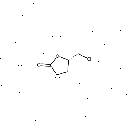 O=C1CC[C@@H](CCl)O1